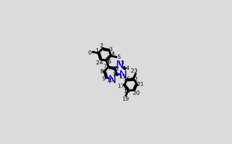 Cc1ccc(C)c(-c2ccnc3c2ncn3-c2cc(C)ccc2C)c1